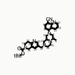 CC1CN(c2ccc(C#N)c3ncccc23)CC2CN(Cc3cnc4c(c3)CN(C(=O)OC(C)(C)C)CC4)CCN12